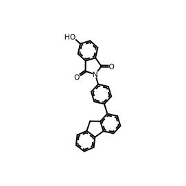 O=C1c2ccc(O)cc2C(=O)N1c1ccc(-c2cccc3c2Cc2ccccc2-3)cc1